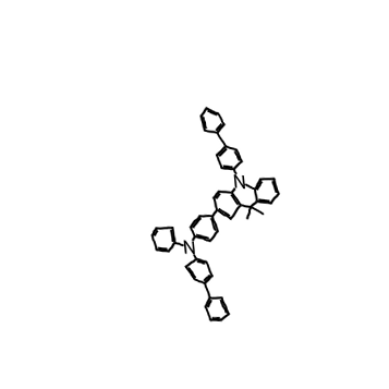 CC1(C)c2ccccc2N(c2ccc(-c3ccccc3)cc2)c2ccc(-c3ccc(N(c4ccccc4)c4ccc(-c5ccccc5)cc4)cc3)cc21